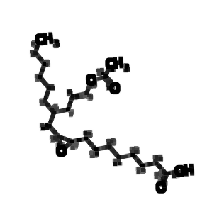 CCCCCCC(CC=COC(C)=O)CC1OC1CCCCCCCC(=O)O